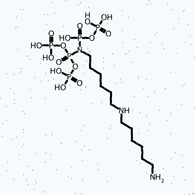 NCCCCCCNCCCCCCN(P(=O)(O)OP(=O)(O)O)P(=O)(OP(=O)(O)O)OP(=O)(O)O